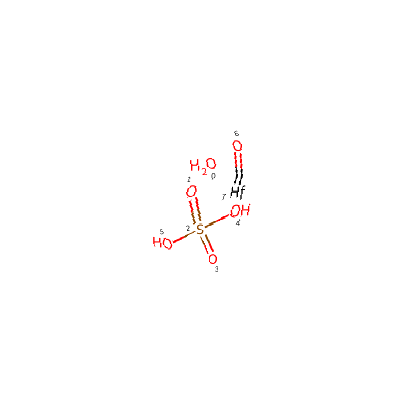 O.O=S(=O)(O)O.[O]=[Hf]